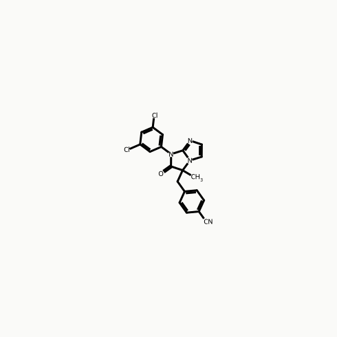 CC1(Cc2ccc(C#N)cc2)C(=O)N(c2cc(Cl)cc(Cl)c2)c2nccn21